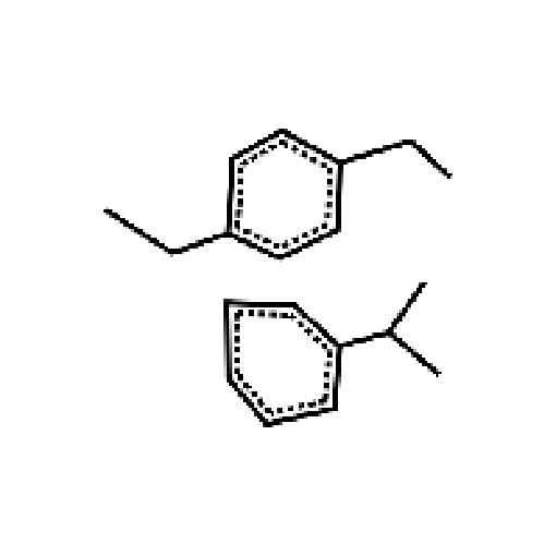 CC(C)c1ccccc1.CCc1ccc(CC)cc1